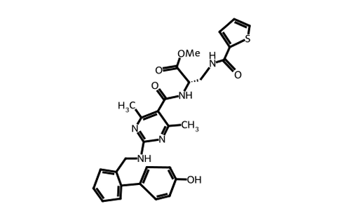 COC(=O)[C@H](CNC(=O)c1cccs1)NC(=O)c1c(C)nc(NCc2ccccc2-c2ccc(O)cc2)nc1C